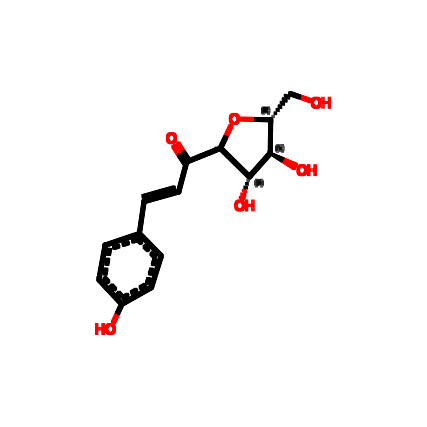 O=C(C=Cc1ccc(O)cc1)[C]1O[C@H](CO)[C@@H](O)[C@@H]1O